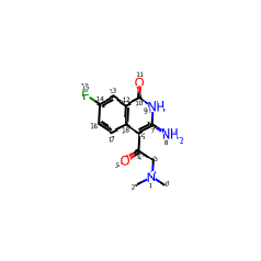 CN(C)CC(=O)c1c(N)[nH]c(=O)c2cc(F)ccc12